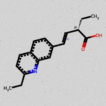 CCc1ccc2ccc(/C=C/[C@H](CC)C(=O)O)cc2n1